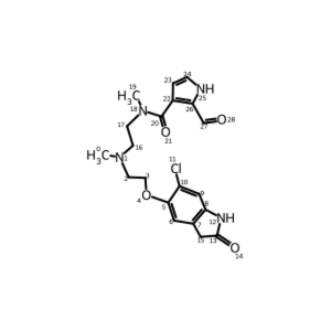 CN(CCOc1cc2c(cc1Cl)NC(=O)C2)CCN(C)C(=O)c1cc[nH]c1C=O